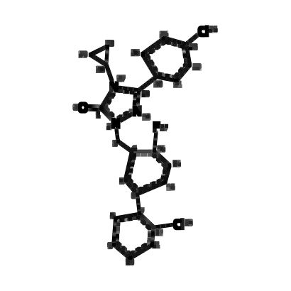 O=c1n(Cc2cc(-c3ccccc3Cl)ccc2F)nc(-c2ccc(Cl)cc2)n1C1CC1